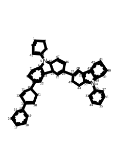 C1=CCCC(N2c3ccc(C4C=CC(c5ccccc5)=CC4)cc3C3C=C(C4=Cc5c(n(-c6ccccc6)c6ccccc56)CC4)C=CC32)=C1